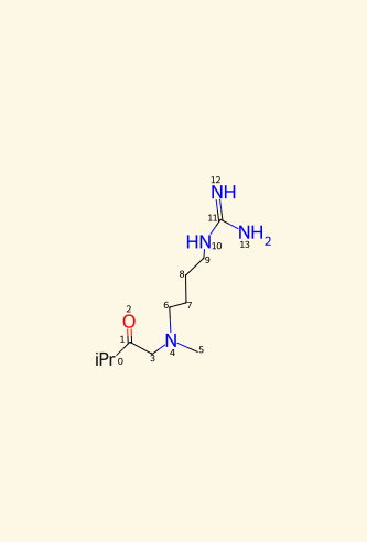 CC(C)C(=O)CN(C)CCCCNC(=N)N